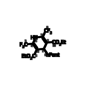 CCCCCC1C(C(=O)OCC)=C(C(F)(F)F)NC(C(F)(F)F)=C1C(=O)OCC